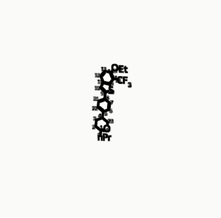 CCCC1CCC(c2ccc(-c3cc4ccc(OCC)c(C(F)(F)F)c4s3)cc2)CO1